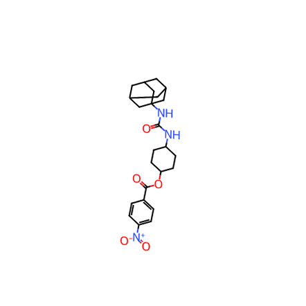 O=C(NC1CCC(OC(=O)c2ccc([N+](=O)[O-])cc2)CC1)NC12CC3CC(CC(C3)C1)C2